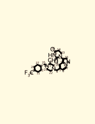 C[C@H]1CN(Cc2ccn3ncc(N4CCC(=O)NC4=O)c3c2)CCN1C[C@H]1CC[C@H](C(F)(F)F)CC1